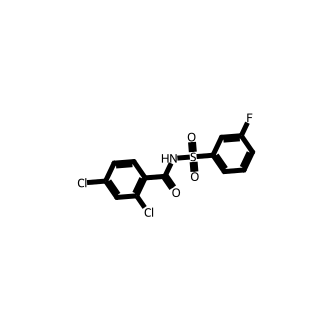 O=C(NS(=O)(=O)c1cccc(F)c1)c1ccc(Cl)cc1Cl